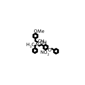 COc1ccc(CC(C)N(CC(O)c2ccc(OCc3ccccc3)c([N+](=O)[O-])c2)C(C)c2ccccc2)cc1